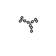 c1ccc(-c2ccc3cc(N(c4ccc(-c5ccc(-n6c7ccccc7c7ccccc76)cc5)cc4)c4ccc(-c5cccc6ccccc56)cc4)ccc3c2)cc1